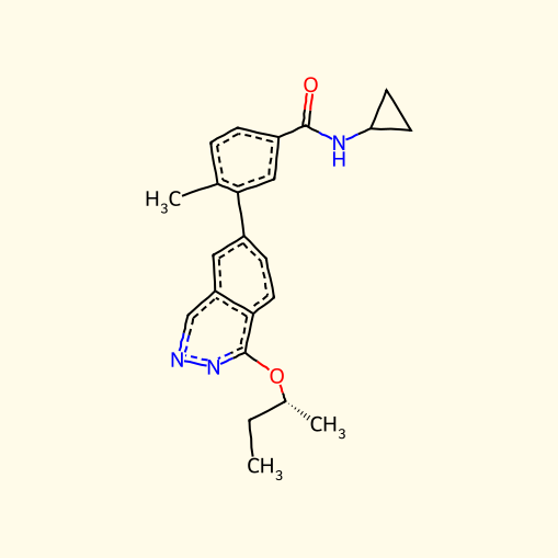 CC[C@@H](C)Oc1nncc2cc(-c3cc(C(=O)NC4CC4)ccc3C)ccc12